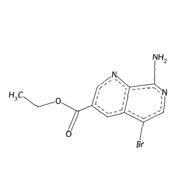 CCOC(=O)c1cnc2c(N)ncc(Br)c2c1